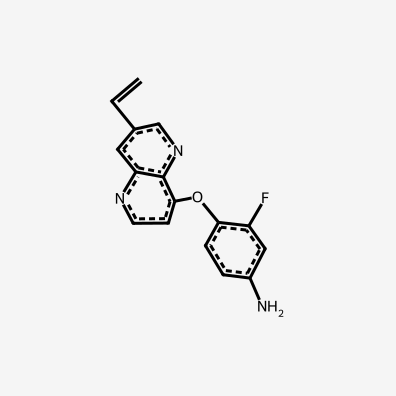 C=Cc1cnc2c(Oc3ccc(N)cc3F)ccnc2c1